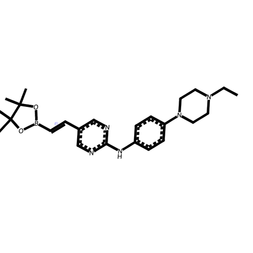 CCN1CCN(c2ccc(Nc3ncc(/C=C/B4OC(C)(C)C(C)(C)O4)cn3)cc2)CC1